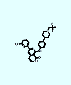 Cc1cccc(-c2cc3cc[nH]c(=O)c3c(Nc3ccc(C4CCN(CC(F)(F)F)CC4)cc3)n2)n1